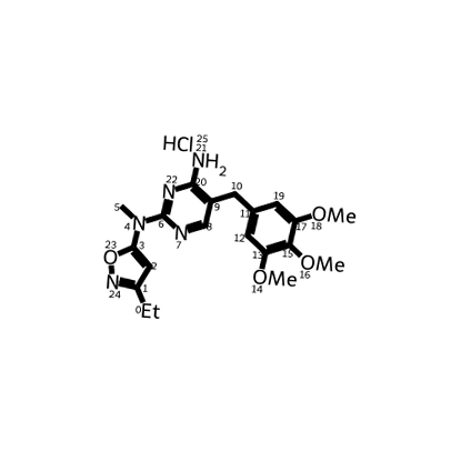 CCc1cc(N(C)c2ncc(Cc3cc(OC)c(OC)c(OC)c3)c(N)n2)on1.Cl